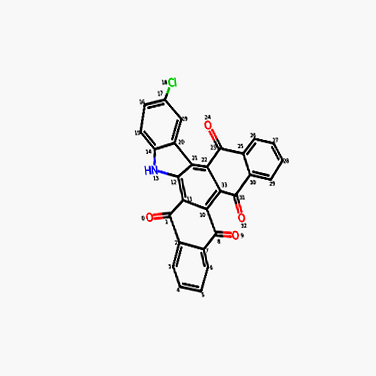 O=c1c2ccccc2c(=O)c2c1c1[nH]c3ccc(Cl)cc3c1c1c(=O)c3ccccc3c(=O)c21